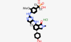 CCC(CC)(c1ccc(Nc2ncc(C(F)(F)F)c(Nc3ccc([C@H]4CC[C@H](O)CC4)c4c3C(=O)N(C)C4)n2)c(OC)c1)P(=O)(O)O.Cl